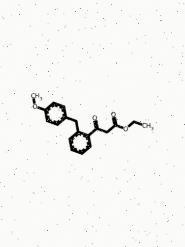 CCOC(=O)CC(=O)c1ccccc1Cc1ccc(OC)cc1